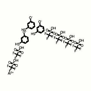 O=S(=O)(O)C(F)(F)F.O=S(=O)(O)C(F)(F)F.O=S(=O)(O)C(F)(F)F.O=S(=O)(O)C(F)(F)F.O=S(=O)(O)C(F)(F)F.O=S(=O)(O)C(F)(F)F.[Al+3].[O-]c1cccc(S)c1.[O-]c1cccc(S)c1.[O-]c1cccc(S)c1